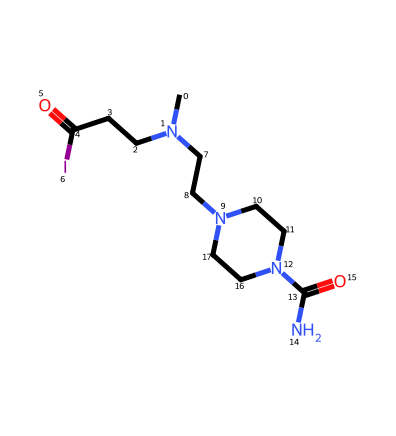 CN(CCC(=O)I)CCN1CCN(C(N)=O)CC1